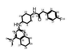 CN(C)c1nc(NC2CCC(NC(=O)Cc3ccc(F)cc3)CC2)nc2c1CCCC2